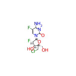 Nc1nc(=O)n([C@@H]2O[C@@](CO)(CCl)[C@@H](O)[C@@H]2F)cc1F